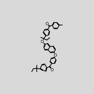 CCC(C)(C)c1ccc(C(=O)c2ccc(Oc3ccc4cc(OC(C)(CC)c5ccc(C(=O)c6ccc(C)cc6)cc5)ccc4c3)cc2)cc1